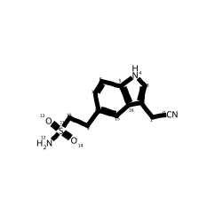 N#CCc1c[nH]c2ccc(CCS(N)(=O)=O)cc12